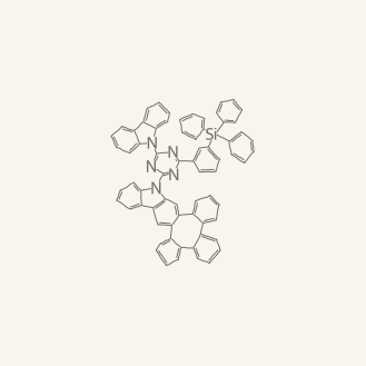 c1ccc([Si](c2ccccc2)(c2ccccc2)c2cccc(-c3nc(-n4c5ccccc5c5ccccc54)nc(-n4c5ccccc5c5cc6c(cc54)-c4ccccc4-c4ccccc4-c4ccccc4-6)n3)c2)cc1